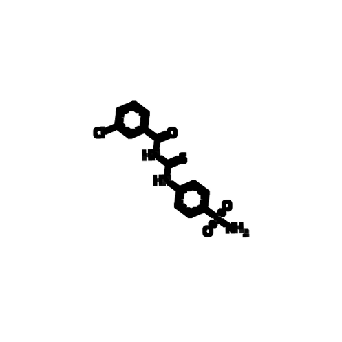 NS(=O)(=O)c1ccc(NC(=S)NC(=O)c2cccc(Cl)c2)cc1